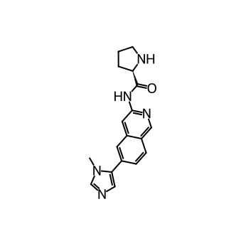 Cn1cncc1-c1ccc2cnc(NC(=O)[C@H]3CCCN3)cc2c1